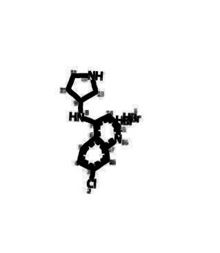 Br.Br.Clc1ccc2c(NC3CCNC3)ccnc2c1